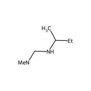 CCC(C)NCNC